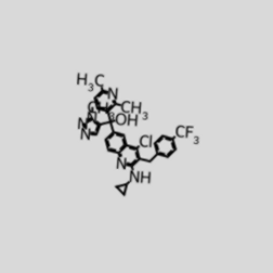 Cc1ccc(C(O)(c2ccc3nc(NC4CC4)c(Cc4ccc(C(F)(F)F)cc4)c(Cl)c3c2)c2cnnn2C)c(C)n1